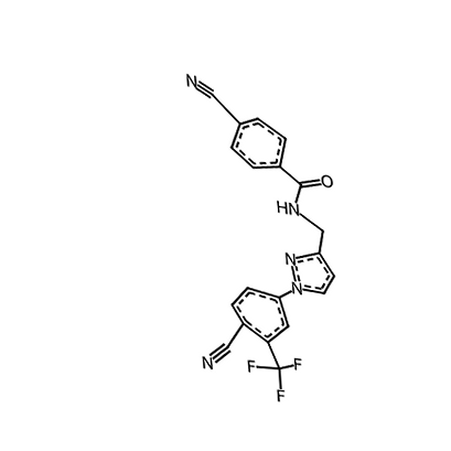 N#Cc1ccc(C(=O)NCc2ccn(-c3ccc(C#N)c(C(F)(F)F)c3)n2)cc1